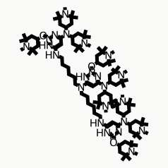 CN1C(C)(C)CC(ON2N=C(N(C3CC(C)(C)N(C)C(C)(C)C3)C3CC(C)(C)N(C)C(C)(C)C3)C=C(NCCCCCCN(CCCCCCNC3=CC(N(C4CC(C)(C)N(C)C(C)(C)C4)C4CC(C)(C)N(C)C(C)(C)C4)=NN(OC4CC(C)(C)N(C)C(C)(C)C4)N3)C3=CC(N(C4CC(C)(C)N(C)C(C)(C)C4)C4CC(C)(C)N(C)C(C)(C)C4)=NN(OC4CC(C)(C)N(C)C(C)(C)C4)N3)N2)CC1(C)C